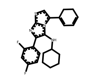 Fc1ccc(-c2nc3scc(C4=CC=CCC4)n3c2NC2CCCCC2)c(F)c1